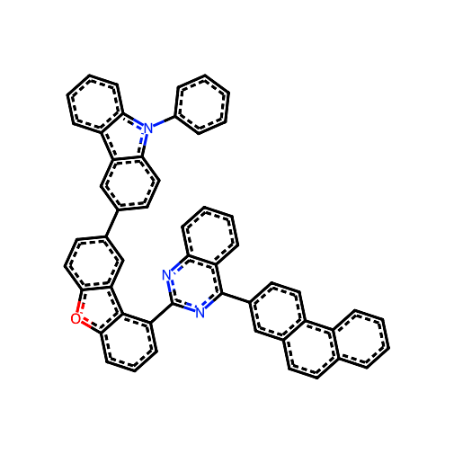 c1ccc(-n2c3ccccc3c3cc(-c4ccc5oc6cccc(-c7nc(-c8ccc9c(ccc%10ccccc%109)c8)c8ccccc8n7)c6c5c4)ccc32)cc1